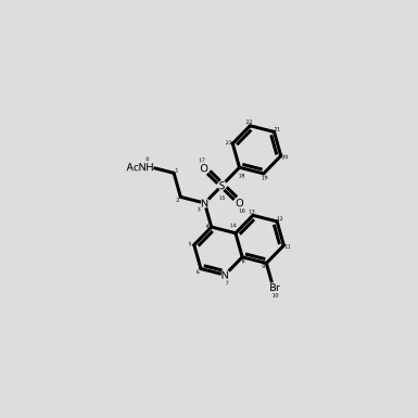 CC(=O)NCCN(c1ccnc2c(Br)cccc12)S(=O)(=O)c1ccccc1